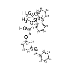 CC(C)(C)[Si](OC[C@@H](O)CO[C@H]1CCC[C@@H](OCc2ccccc2)C1)(c1ccccc1)c1ccccc1